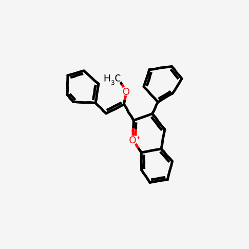 COC(=Cc1ccccc1)c1[o+]c2ccccc2cc1-c1ccccc1